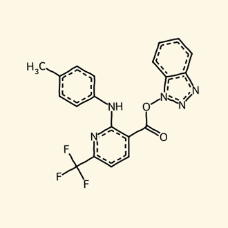 Cc1ccc(Nc2nc(C(F)(F)F)ccc2C(=O)On2nnc3ccccc32)cc1